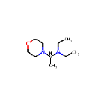 CCN(CC)[SiH](C)N1CCOCC1